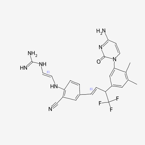 Cc1cc(C(/C=C/c2ccc(N/C=C/NC(=N)N)c(C#N)c2)C(F)(F)F)cc(-n2ccc(N)nc2=O)c1C